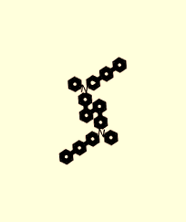 C1=CC(N(c2ccccc2)c2ccc(-c3ccccc3-c3ccccc3-c3ccc(N(c4ccccc4)c4ccc(-c5ccc(-c6ccccc6)cc5)cc4)cc3)cc2)CC=C1c1ccc(-c2ccccc2)cc1